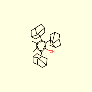 Cc1c(C)c(C23CC4CC(CC(C4)C2)C3)c(C23CC4CC(CC(C4)C2)C3)c(O)c1C12CC3CC(CC(C3)C1)C2